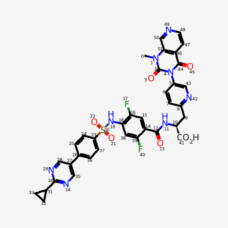 Cn1c(=O)n(-c2ccc(C[C@H](NC(=O)c3cc(F)c(NS(=O)(=O)c4ccc(-c5cnc(C6CC6)nc5)cc4)cc3F)C(=O)O)nc2)c(=O)c2ccncc21